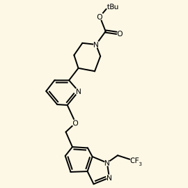 CC(C)(C)OC(=O)N1CCC(c2cccc(OCc3ccc4cnn(CC(F)(F)F)c4c3)n2)CC1